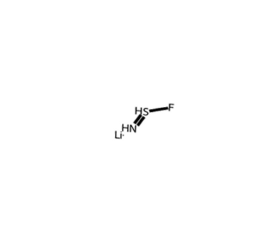 N=[SH]F.[Li]